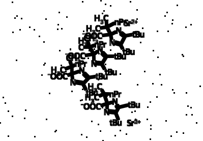 CCCC(C)(C)C1(C(=O)[O-])N=C(C(C)(C)C)C(C(C)(C)C)=N1.CCCC(C)(C)C1(C(=O)[O-])N=C(C(C)(C)C)C(C(C)(C)C)=N1.CCCC(C)(C)C1(C(=O)[O-])N=C(C(C)(C)C)C(C(C)(C)C)=N1.CCCC(C)(C)C1(C(=O)[O-])N=C(C(C)(C)C)C(C(C)(C)C)=N1.[Sr+2].[Sr+2]